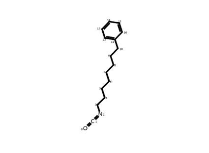 O=C=N[CH]CCCCCCCc1ccccc1